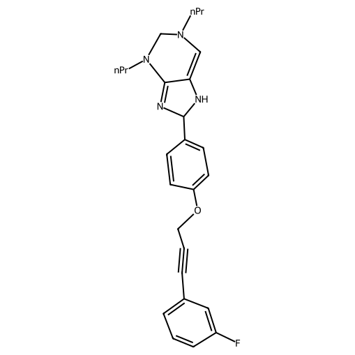 CCCN1C=C2NC(c3ccc(OCC#Cc4cccc(F)c4)cc3)N=C2N(CCC)C1